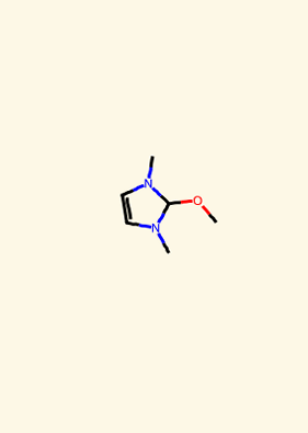 COC1N(C)C=CN1C